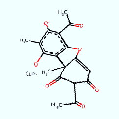 CC(=O)c1c([O-])c(C)c([O-])c2c1OC1=CC(=O)C(C(C)=O)C(=O)C12C.[Cu+2]